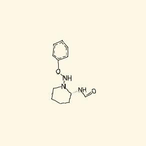 O=CN[C@@H]1CCCCN1NOc1ccccc1